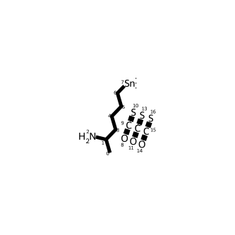 CC(N)CCC[CH2][Sn].O=C=S.O=C=S.O=C=S